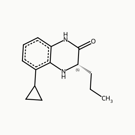 CCC[C@@H]1Nc2c(cccc2C2CC2)NC1=O